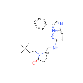 CC(C)(C)CCN1C(=O)CC[C@H]1CNc1ccc2ncc(-c3ccccc3)n2n1